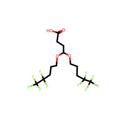 O=C(O)CCC(OCCCC(F)(F)C(F)(F)F)OCCCC(F)(F)C(F)(F)F